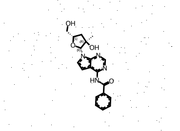 C[C@@]1(O)C[C@@H](CO)O[C@H]1n1ccc2c(NC(=O)c3ccccc3)ncnc21